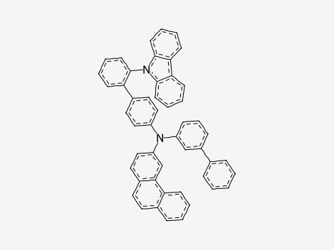 c1ccc(-c2cccc(N(c3ccc(-c4ccccc4-n4c5ccccc5c5ccccc54)cc3)c3ccc4ccc5ccccc5c4c3)c2)cc1